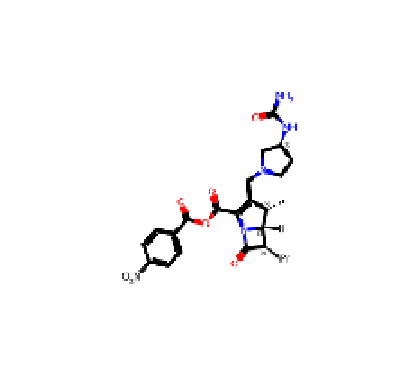 CC(C)[C@H]1C(=O)N2C(C(=O)OC(=O)c3ccc([N+](=O)[O-])cc3)=C(CN3CC[C@H](NC(N)=O)C3)[C@H](C)[C@H]12